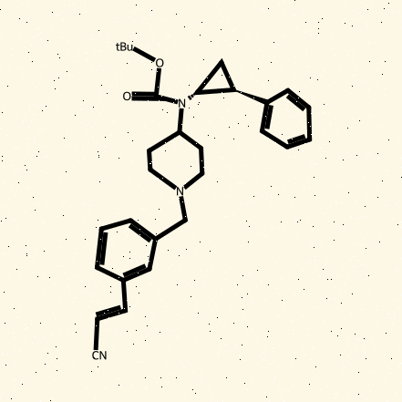 CC(C)(C)OC(=O)N(C1CCN(Cc2cccc(/C=C/C#N)c2)CC1)[C@@H]1C[C@H]1c1ccccc1